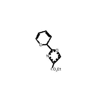 CCOC(=O)c1coc(C2C=CC=CO2)n1